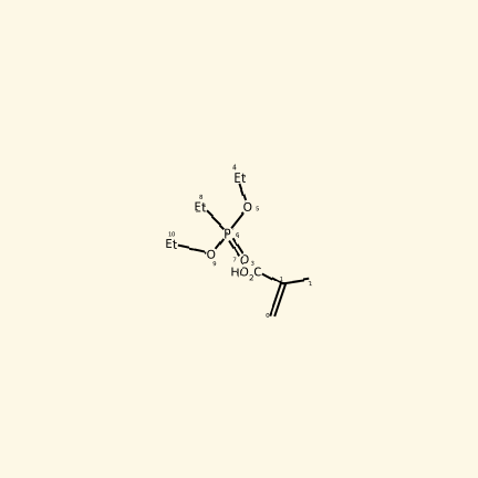 C=C(C)C(=O)O.CCOP(=O)(CC)OCC